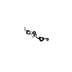 O=C1c2c(cccc2Oc2ncc(F)cn2)CN1Cc1ccc(-n2cccn2)cc1